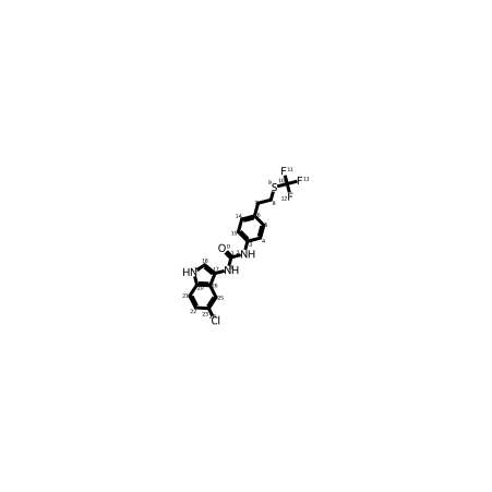 O=C(Nc1ccc(CCSC(F)(F)F)cc1)Nc1c[nH]c2ccc(Cl)cc12